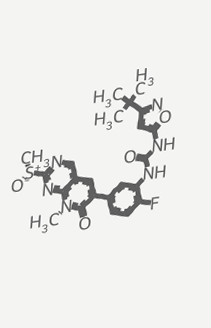 Cn1c(=O)c(-c2ccc(F)c(NC(=O)Nc3cc(C(C)(C)C)no3)c2)cc2cnc([S+](C)[O-])nc21